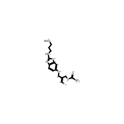 COCCCNc1nc2ccc(OC/C(=C/F)COC(N)=O)cc2o1